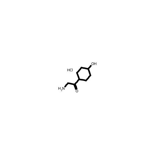 Cl.NCC(=O)C1CCC(O)CC1